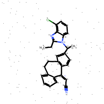 CCc1nc2c(Cl)cccc2n1C(C)c1ccc2c(c1)CCc1ccccc1/C2=C\C#N